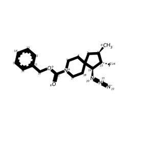 C[C@@H]1CC2(CCN(C(=O)OCc3ccccc3)CC2)[C@H](N=[N+]=[N-])[C@H]1F